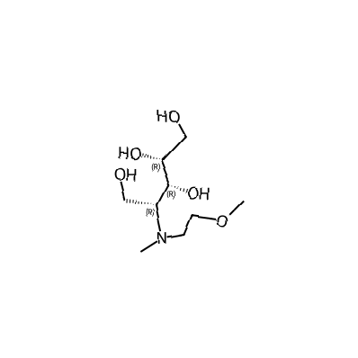 COCCN(C)[C@H](CO)[C@@H](O)[C@H](O)CO